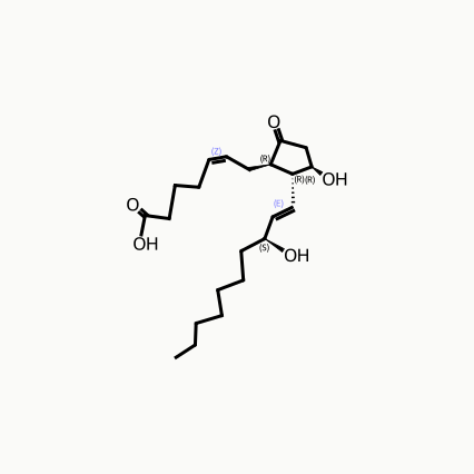 CCCCCCC[C@H](O)/C=C/[C@H]1[C@H](O)CC(=O)[C@@H]1C/C=C\CCCC(=O)O